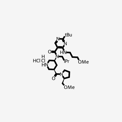 COCCCNc1nc(C(C)(C)C)ncc1C(=O)N(CC(C)C)[C@@H]1CNC[C@H](C(=O)N2CCC[C@H]2COC)C1.Cl.Cl